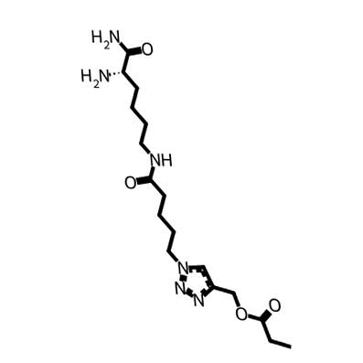 CCC(=O)OCc1cn(CCCCC(=O)NCCCC[C@H](N)C(N)=O)nn1